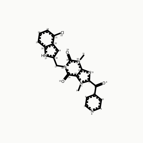 Cn1c(C(=O)c2ccncc2)nc2c1c(=O)n(Cc1cc3c(Cl)cccc3[nH]1)c(=O)n2C